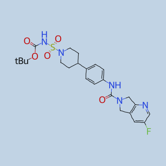 CC(C)(C)OC(=O)NS(=O)(=O)N1CCC(c2ccc(NC(=O)N3Cc4cc(F)cnc4C3)cc2)CC1